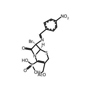 CC(=O)OCC1=C(P(=O)(O)O)N2C(=O)[C@@](Br)(/N=C/c3ccc([N+](=O)[O-])cc3)[C@H]2SC1